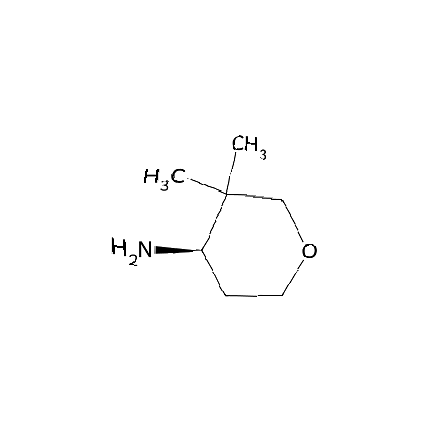 CC1(C)COCC[C@H]1N